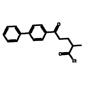 CCC(=O)C(C)CCC(=O)c1ccc(-c2ccccc2)cc1